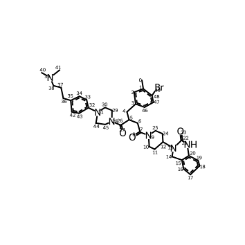 Cc1cc(CC(CC(=O)N2CCC(N3Cc4ccccc4NC3=O)CC2)C(=O)N2CCN(c3ccc(CCCN(C)C)cc3)CC2)ccc1Br